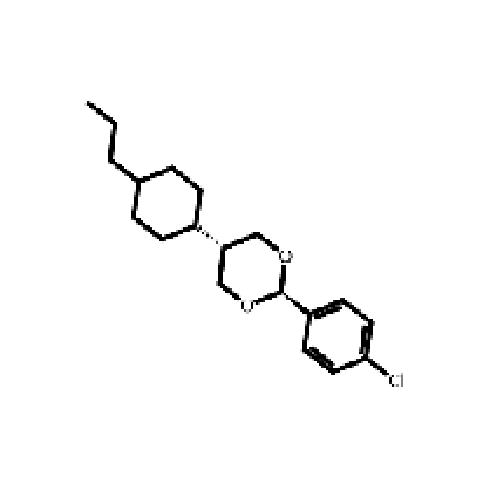 CCCC1CCC([C@H]2CO[C@H](c3ccc(Cl)cc3)OC2)CC1